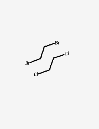 BrCCBr.ClCCCl